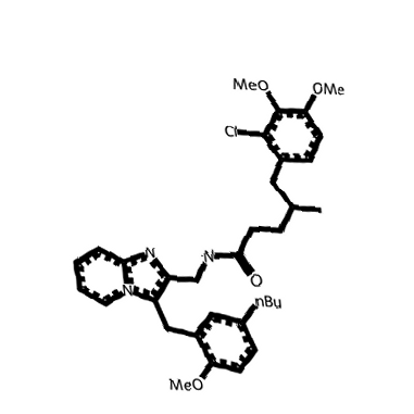 CCCCc1ccc(OC)c(Cc2c(C[N]C(=O)CCC(C)Cc3ccc(OC)c(OC)c3Cl)nc3ccccn23)c1